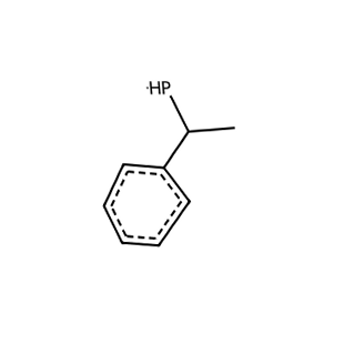 CC([PH])c1ccccc1